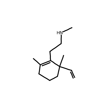 C=CC1(C)CCCC(C)=C1CCNC